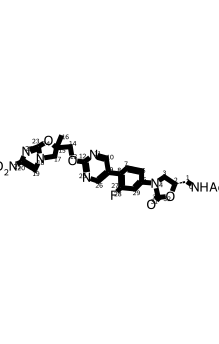 CC(=O)NC[C@H]1CN(c2ccc(-c3cnc(OCC4(C)Cn5cc([N+](=O)[O-])nc5O4)nc3)c(F)c2)C(=O)O1